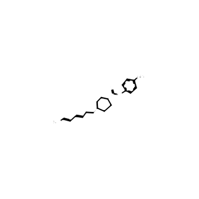 CCCc1ccc(OC(=O)[C@H]2CC[C@H](CCC=CC=CC#N)CC2)cc1